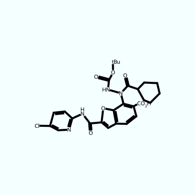 CC(C)(C)OC(=O)NN(C(=O)C1CCCCC1)c1c(C(=O)O)ccc2cc(C(=O)Nc3ccc(Cl)cn3)oc12